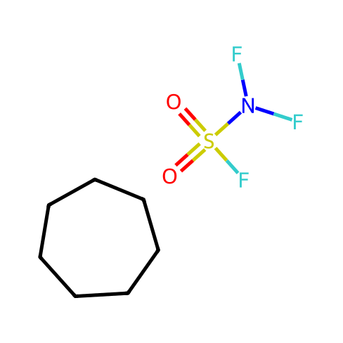 C1CCCCCC1.O=S(=O)(F)N(F)F